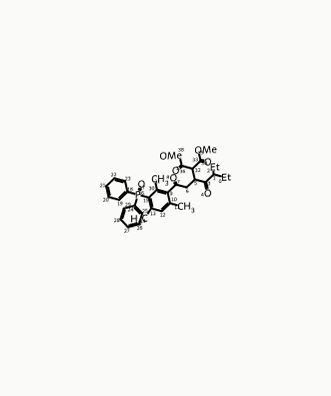 CCC(CC)C(=O)C(CC(=O)c1c(C)cc(C)c(P(=O)(c2ccccc2)c2ccccc2)c1C)C(C(=O)OC)C(=O)OC